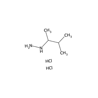 CC(C)C(C)NN.Cl.Cl